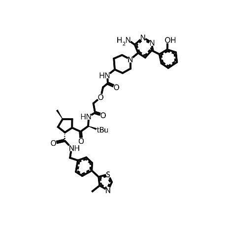 Cc1ncsc1-c1ccc(CNC(=O)[C@@H]2C[C@@H](C)CC2C(=O)[C@@H](NC(=O)COCC(=O)NC2CCN(c3cc(-c4ccccc4O)nnc3N)CC2)C(C)(C)C)cc1